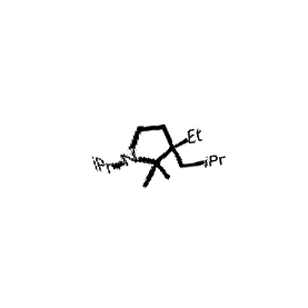 CC[C@]1(CC(C)C)CCN(C(C)C)C1(C)C